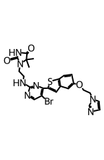 CC1(C)C(=O)NC(=O)N1CCNc1ncc(Br)c(-c2cc3cc(OCCn4ccnc4)ccc3s2)n1